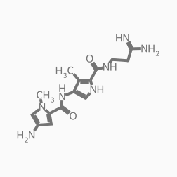 Cc1c(NC(=O)c2cc(N)cn2C)c[nH]c1C(=O)NCCC(=N)N